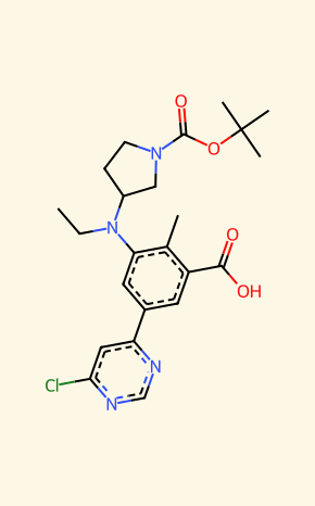 CCN(c1cc(-c2cc(Cl)ncn2)cc(C(=O)O)c1C)C1CCN(C(=O)OC(C)(C)C)C1